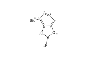 CC(C)(C)c1cccc2c1OC(F)O2